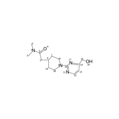 CN(C)C(=O)CC1CCN(c2nccc(CO)n2)CC1